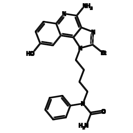 CCc1nc2c(N)nc3ccc(O)cc3c2n1CCCCN(C(N)=O)c1ccccc1